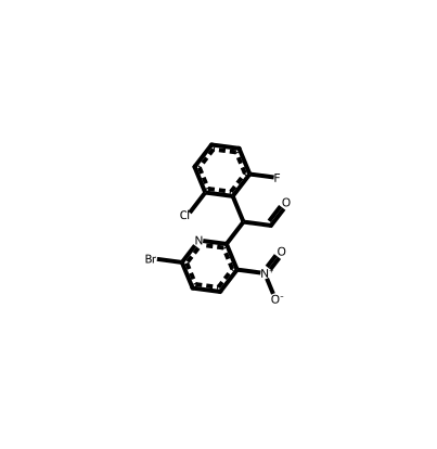 O=CC(c1nc(Br)ccc1[N+](=O)[O-])c1c(F)cccc1Cl